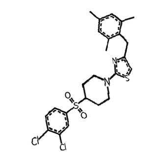 Cc1cc(C)c(Cc2csc(N3CCC(S(=O)(=O)c4ccc(Cl)c(Cl)c4)CC3)n2)c(C)c1